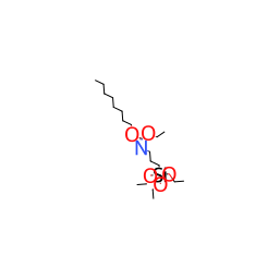 CCCCCCCCOC(=NCCC[Si](OCC)(OCC)OCC)OCC